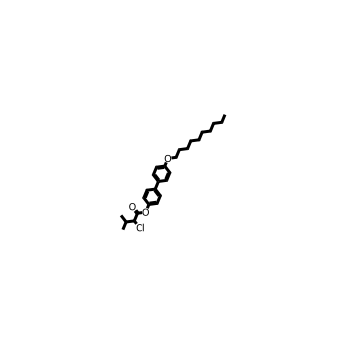 CCCCCCCCCCOc1ccc(-c2ccc(OC(=O)C(Cl)C(C)C)cc2)cc1